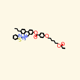 C=CC(=O)OCCCCCCOc1ccc(C(=O)Oc2ccc(-c3ccc(CCC)cc3)c(/C=N/N(C)c3nc4ccccc4s3)c2)cc1